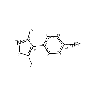 CC1=NCC(C)=C1c1ccc(C(C)C)cc1